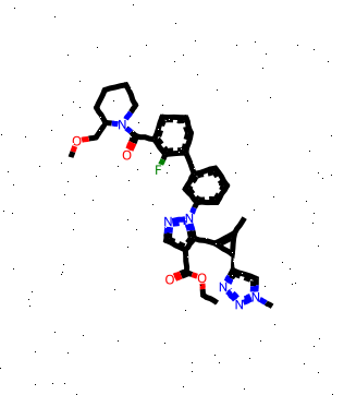 CCOC(=O)c1cnn(-c2cccc(-c3cccc(C(=O)N4CCCCC4COC)c3F)c2)c1C1=C(C)[C@H]1c1cn(C)nn1